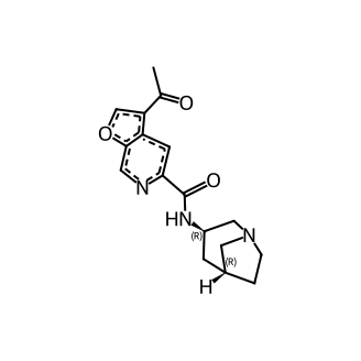 CC(=O)c1coc2cnc(C(=O)N[C@@H]3C[C@H]4CCN(C4)C3)cc12